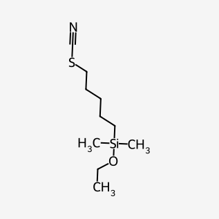 CCO[Si](C)(C)CCCCCSC#N